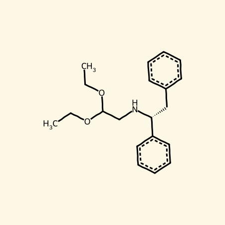 CCOC(CN[C@H](Cc1ccccc1)c1ccccc1)OCC